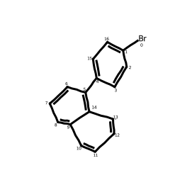 Brc1ccc(-c2cccc3ccc[c]c23)cc1